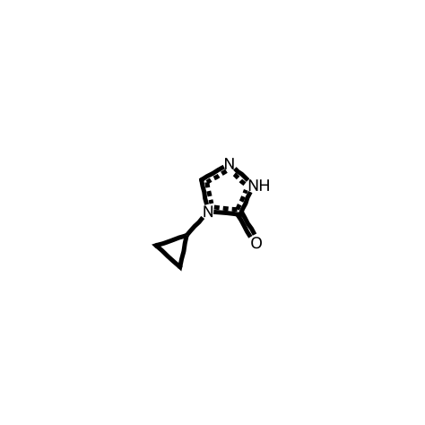 O=c1[nH]ncn1C1CC1